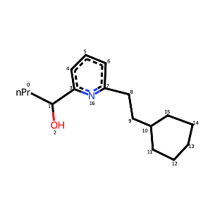 CCCC(O)c1cccc(CCC2CCCCC2)n1